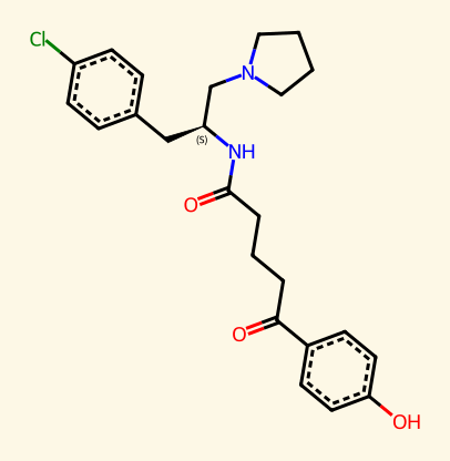 O=C(CCCC(=O)c1ccc(O)cc1)N[C@@H](Cc1ccc(Cl)cc1)CN1CCCC1